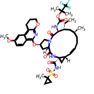 CC[C@@H]1C[C@@H](C)CC/C=C\[C@@H]2C[C@@]2(C(=O)NS(=O)(=O)C2(C)CC2)NC(=O)[C@@H]2C[C@@H](Oc3nc4c(c5cc(OC)ccc35)CCCO4)CN2C(=O)[C@H]1NC(=O)OC(C)(C)C(F)(F)F